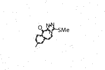 CSc1nnc2c(=O)c3ccc(C)cc3ccn12